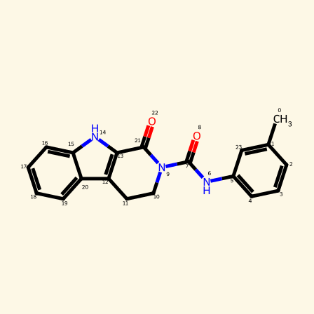 Cc1cccc(NC(=O)N2CCc3c([nH]c4ccccc34)C2=O)c1